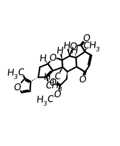 COC(=O)C[C@@H]1C2C(=O)C=C[C@@]3(C)C(=O)O[C@@H]([C@H]4O[C@@H]5C[C@@H](c6ccoc6C)C(C)=C5[C@@]14C)[C@H]23